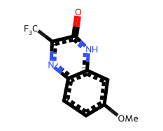 COc1ccc2nc(C(F)(F)F)c(=O)[nH]c2c1